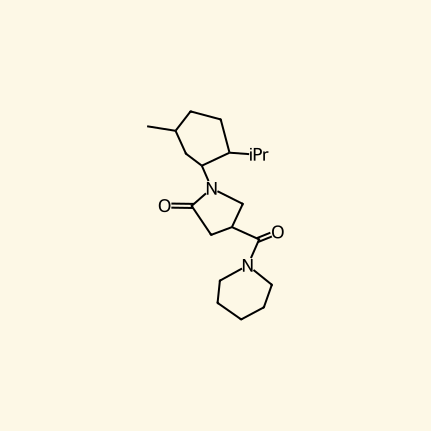 CC1CCC(C(C)C)C(N2CC(C(=O)N3CCCCC3)CC2=O)C1